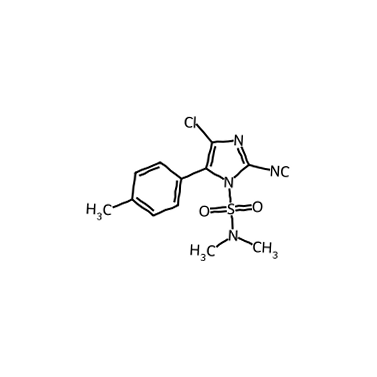 [C-]#[N+]c1nc(Cl)c(-c2ccc(C)cc2)n1S(=O)(=O)N(C)C